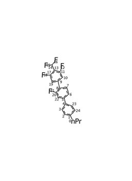 CCCc1ccc(-c2ccc(-c3cc(F)c(C(F)F)c(F)c3)c(F)c2)cc1